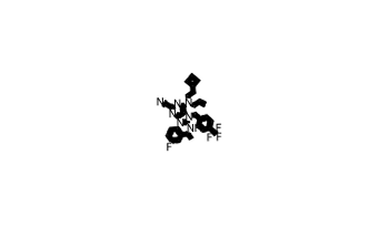 C=CCN(CCC1CCC1)c1nc(C#N)nc2nc(NC(C)c3cccc(F)c3)n(Cc3ccc(C(F)(F)F)cc3)c12